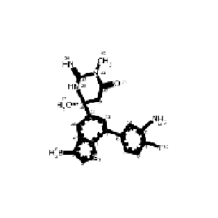 Bc1csc2c(-c3ccc(F)c(N)c3)cc([C@]3(C)CC(=O)N(C)C(=N)N3)cc12